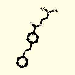 CN(C)CCNC(=O)c1ccc(COc2ccccc2)cc1